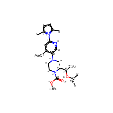 COc1cc(-n2c(C)ccc2C)ncc1N1CCN(C(=O)OC(C)(C)C)[C@@H]([C@H](O[SiH](C)C)C(C)(C)C)C1